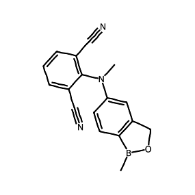 CB1OCc2cc(N(C)c3c(C#N)cccc3C#N)ccc21